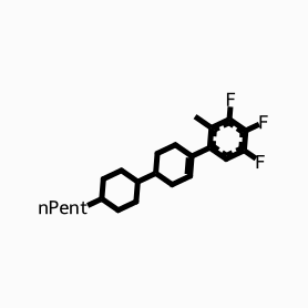 CCCCCC1CCC(C2CC=C(c3cc(F)c(F)c(F)c3C)CC2)CC1